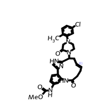 COC(=O)Nc1ccc2c(c1)NC(=O)CC/C=C/CC(N1CCN(c3cc(Cl)ccc3C)CC1=O)c1nc-2c[nH]1